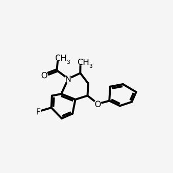 CC(=O)N1c2cc(F)ccc2C(Oc2ccccc2)CC1C